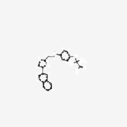 CC(C)(Oc1ccc(OCCc2nc(-c3ccc4ccccc4c3)cs2)cc1)C(=O)O